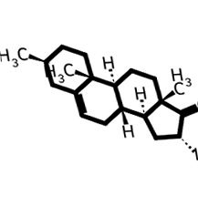 C[C@H]1CC[C@@]2(C)C(=CC[C@@H]3[C@@H]2CC[C@]2(C)C(=O)[C@H](I)C[C@@H]32)C1